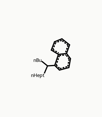 CCCCCCCC(CCCC)c1cccc2ccccc12